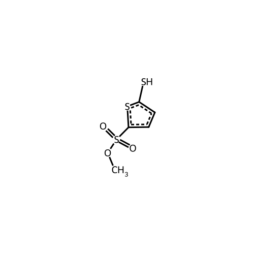 COS(=O)(=O)c1ccc(S)s1